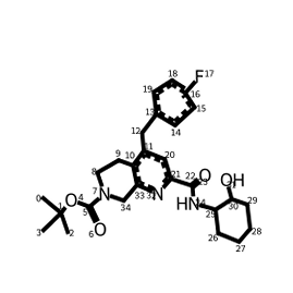 CC(C)(C)OC(=O)N1CCc2c(Cc3ccc(F)cc3)cc(C(=O)NC3CCCCC3O)nc2C1